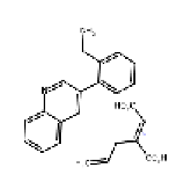 C=CC/C(=C\C(=O)O)C(=O)O.NCc1ccccc1-c1cnc2ccccc2c1